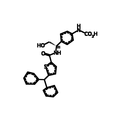 O=C(O)Nc1ccc([C@@H](CO)NC(=O)c2ccc(C(c3ccccc3)c3ccccc3)s2)cc1